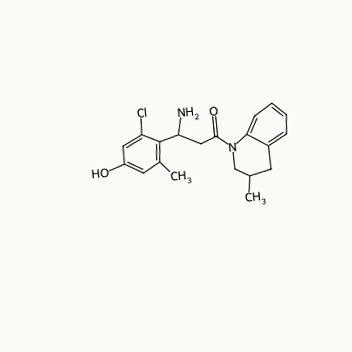 Cc1cc(O)cc(Cl)c1C(N)CC(=O)N1CC(C)Cc2ccccc21